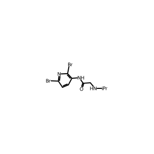 CC(C)NCC(=O)Nc1ccc(Br)nc1Br